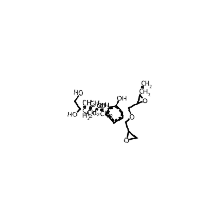 C(OCC1CO1)C1CO1.C=C.C=C.C=C.C=C.C=C.OCCO.Oc1ccccc1